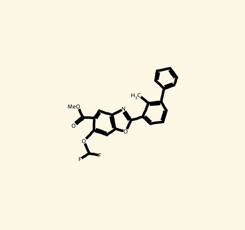 COC(=O)c1cc2nc(-c3cccc(-c4ccccc4)c3C)oc2cc1OC(F)F